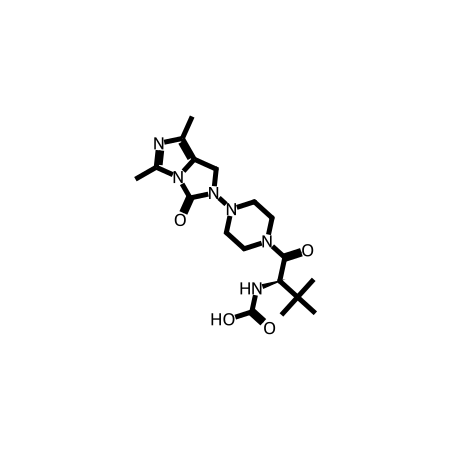 Cc1nc(C)n2c1CN(N1CCN(C(=O)[C@H](NC(=O)O)C(C)(C)C)CC1)C2=O